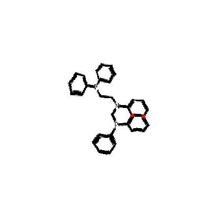 c1ccc(N(CCP(c2ccccc2)c2ccccc2)CP(c2ccccc2)c2ccccc2)cc1